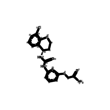 NC(=O)COc1cccc(NC(=O)N[C@H]2CCOc3c(Cl)cccc32)n1